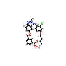 CCCCCOc1ccc(Cn2c(C)nc3c(C)cc(OCc4cccc(C(=O)OC)c4)cc32)c(Cl)c1